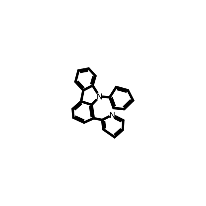 c1ccc(-n2c3ccccc3c3cccc(-c4ccccn4)c32)cc1